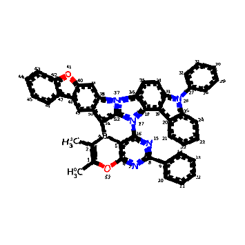 CC1=C(C)B2c3c(nc(-c4ccccc4)nc3-n3c4c5c6ccccc6n(-c6ccccc6)c5ccc4n4c5cc6oc7ccccc7c6cc5c2c34)O1